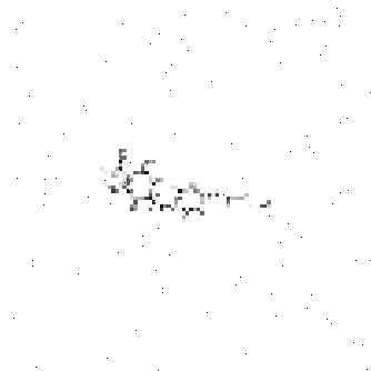 CCCCOc1ccc(Oc2cc(C)c(C(C)=O)c(C)c2)cc1